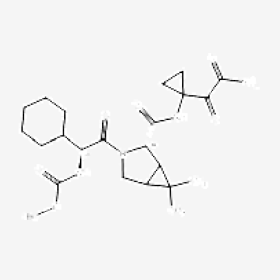 CC(C)(C)OC(=O)N[C@H](C(=O)N1CC2C([C@H]1C(=O)NC1(C(=O)C(N)=O)CC1)C2(C)C)C1CCCCC1